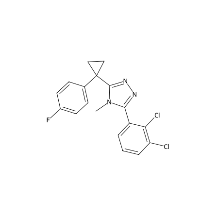 Cn1c(-c2cccc(Cl)c2Cl)nnc1C1(c2ccc(F)cc2)CC1